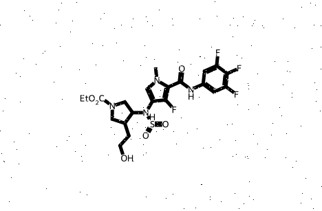 CCOC(=O)N1CC(CCO)C(N(c2cn(C)c(C(=O)Nc3cc(F)c(F)c(F)c3)c2F)[SH](=O)=O)C1